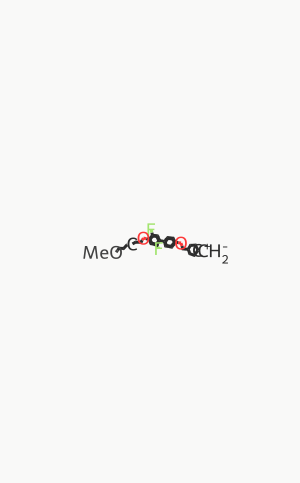 [CH2-][C+]1CCC(COc2ccc(-c3cc(F)c(OCCCCCCOC)cc3F)cc2)CC1